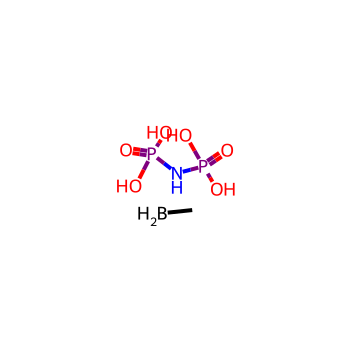 BC.O=P(O)(O)NP(=O)(O)O